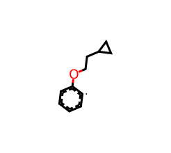 [c]1ccccc1OCCC1CC1